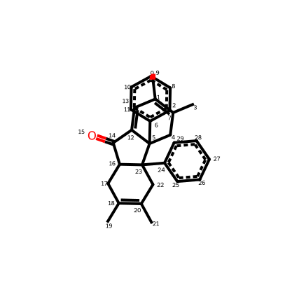 CC1=C(C)CC2(c3ccccc3)C(=C1)C(=O)C1CC(C)=C(C)CC12c1ccccc1